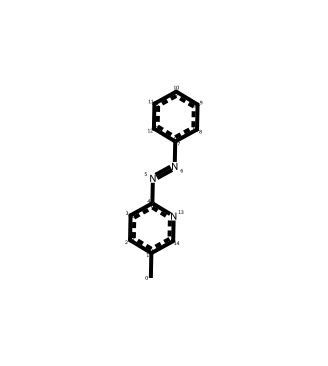 Cc1ccc(/N=N/c2ccccc2)nc1